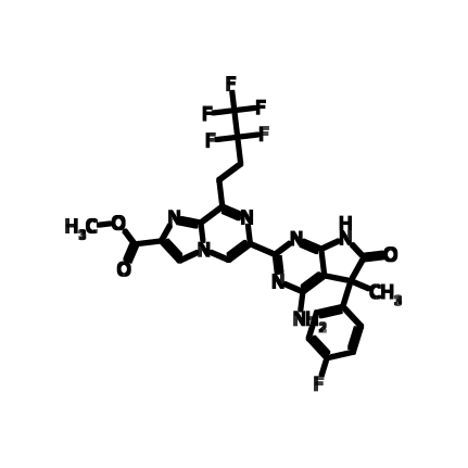 COC(=O)c1cn2cc(-c3nc(N)c4c(n3)NC(=O)C4(C)c3ccc(F)cc3)nc(CCC(F)(F)C(F)(F)F)c2n1